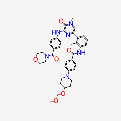 COCOC1CCN(c2ccc(C(=O)Nc3cccc(-c4cn(C)c(=O)c(Nc5ccc(C(=O)N6CCOCC6)cc5)n4)c3C)cc2)CC1